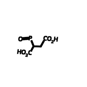 O=PC(CC(=O)O)C(=O)O